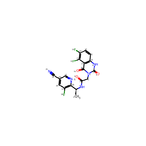 C[C@H](NC(=O)Cn1c(=O)[nH]c2ccc(F)c(F)c2c1=O)c1ncc(C#N)cc1F